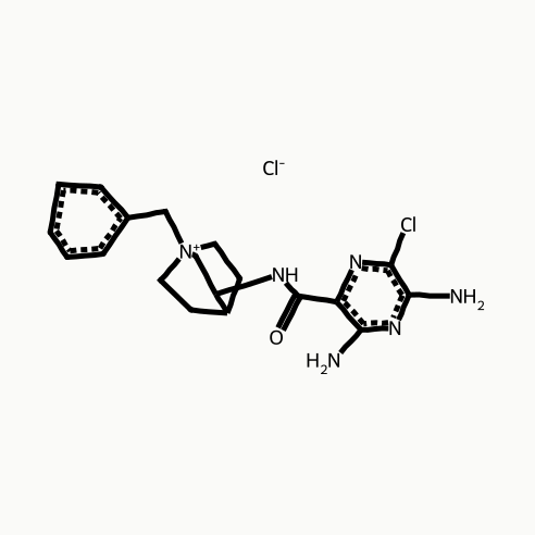 Nc1nc(N)c(C(=O)NC2C[N+]3(Cc4ccccc4)CCC2CC3)nc1Cl.[Cl-]